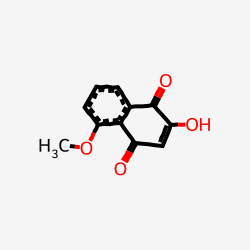 COc1cccc2c1C(=O)C=C(O)C2=O